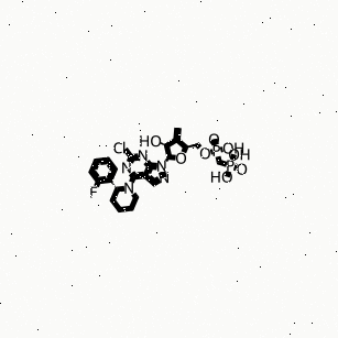 C=C1[C@@H](O)[C@H](n2ncc3c(N4CCCC[C@@H]4c4ccccc4F)nc(Cl)nc32)O[C@@H]1COP(=O)(O)CP(=O)(O)O